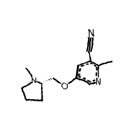 Cc1ncc(OC[C@@H]2CCCN2C)cc1C#N